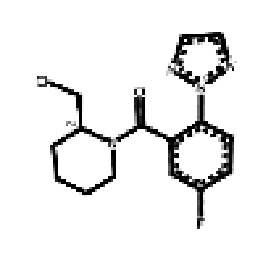 O=C(c1cc(F)ccc1-n1nccn1)N1CCCC[C@H]1CCl